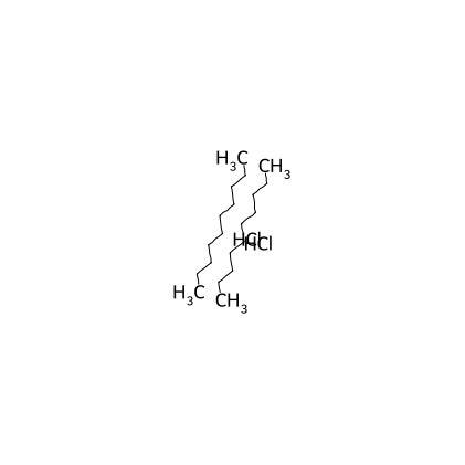 CCCCCCCCCC.CCCCCCCCCC.Cl.Cl